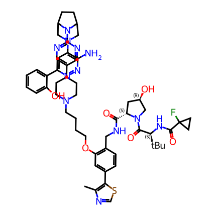 Cc1ncsc1-c1ccc(CNC(=O)[C@@H]2C[C@@H](O)CN2C(=O)[C@@H](NC(=O)C2(F)CC2)C(C)(C)C)c(OCCCCN2CCC(c3cnc(N4C5CCC4CN(c4cc(-c6ccccc6O)nnc4N)C5)nc3)CC2)c1